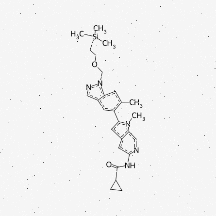 Cc1cc2c(cnn2COCC[Si](C)(C)C)cc1-c1cc2cc(NC(=O)C3CC3)ncc2n1C